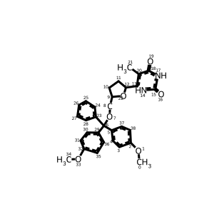 COc1ccc(C(OCC2CCC(c3[nH]c(=O)[nH]c(=O)c3C)O2)(c2ccccc2)c2ccc(OC)cc2)cc1